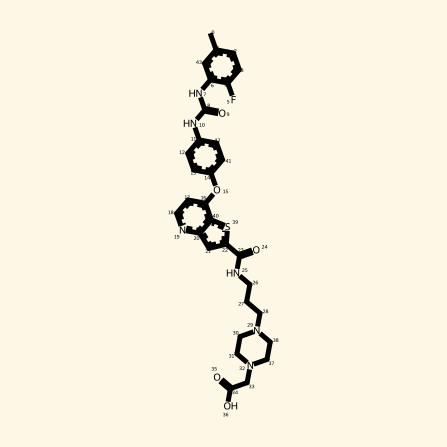 Cc1ccc(F)c(NC(=O)Nc2ccc(Oc3ccnc4cc(C(=O)NCCCN5CCN(CC(=O)O)CC5)sc34)cc2)c1